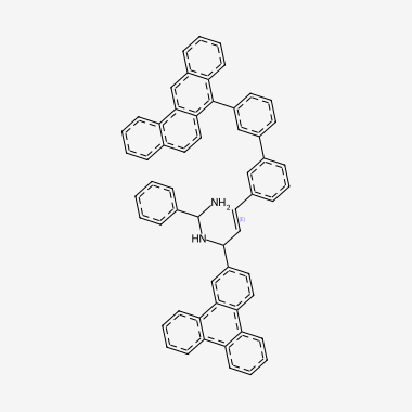 NC(NC(/C=C/c1cccc(-c2cccc(-c3c4ccccc4cc4c3ccc3ccccc34)c2)c1)c1ccc2c3ccccc3c3ccccc3c2c1)c1ccccc1